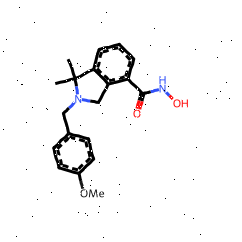 COc1ccc(CN2Cc3c(C(=O)NO)cccc3C2(C)C)cc1